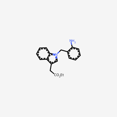 CCOC(=O)Cc1cn(Cc2ccccc2N)c2ccccc12